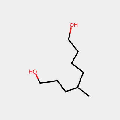 [CH2]C(CCCO)CCCCO